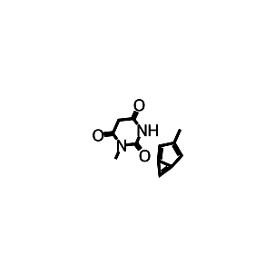 CN1C(=O)CC(=O)NC1=O.Cc1cc2cc-2c1